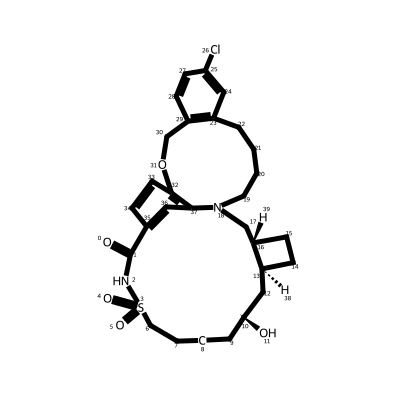 O=C1NS(=O)(=O)CCCC[C@H](O)C[C@@H]2CC[C@H]2CN2CCCCc3cc(Cl)ccc3COc3ccc1cc32